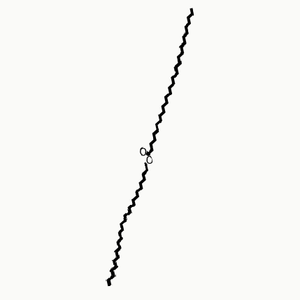 CCCCCCCCCCCCCCCCCCCCCCCCCCCCCCC(=O)OCCCCCCCCCCCCCCCCCCCCCCCCCCCC